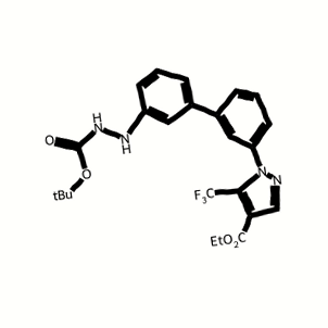 CCOC(=O)c1cnn(-c2cccc(-c3cccc(NNC(=O)OC(C)(C)C)c3)c2)c1C(F)(F)F